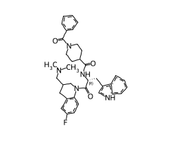 CN(C)CC1Cc2cc(F)ccc2N(C(=O)[C@@H](Cc2c[nH]c3ccccc23)NC(=O)C2CCN(C(=O)c3ccccc3)CC2)C1